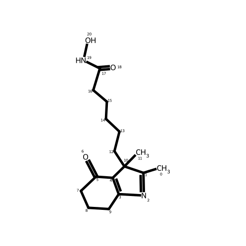 CC1=NC2=C(C(=O)CCC2)C1(C)CCCCCC(=O)NO